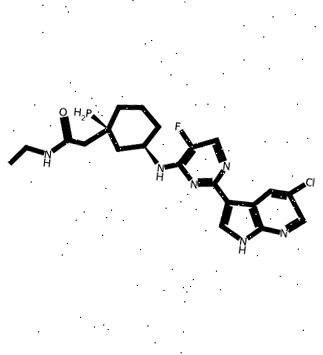 CCNC(=O)C[C@]1(P)CCC[C@@H](Nc2nc(-c3c[nH]c4ncc(Cl)cc34)ncc2F)C1